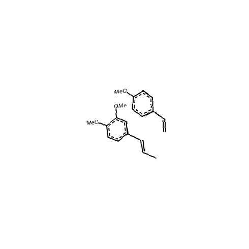 C=Cc1ccc(OC)cc1.CC=Cc1ccc(OC)c(OC)c1